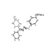 CCCCCCc1ccc(C=NN=C(c2ccccc2)C2CCC(C)CC2)cc1